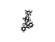 Cc1cc(C)nc(N2C[C@H]3CN(C(=O)c4c(-c5ccccc5)cn5ccccc45)C[C@H]3C2)n1